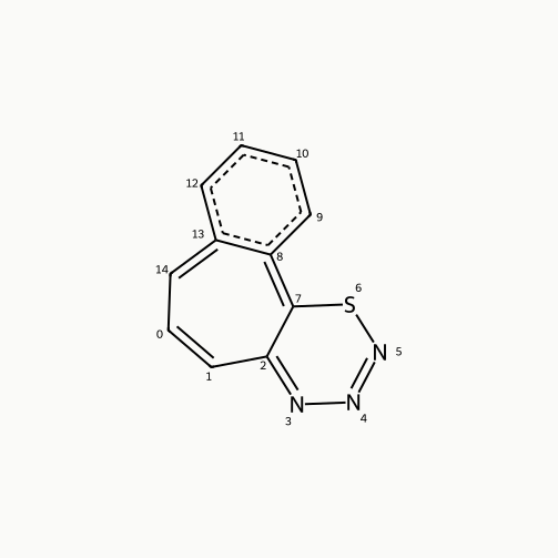 C1=CC2=NN=NSC2=c2ccccc2=C1